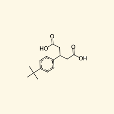 CC(C)(C)c1ccc(C(CC(=O)O)CC(=O)O)cc1